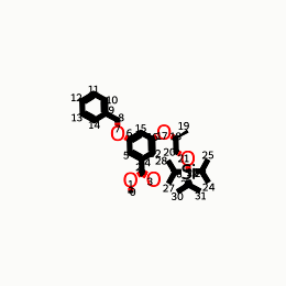 COC(=O)c1cc(OCc2ccccc2)cc(O[C@@H](C)CO[Si](C(C)C)(C(C)C)C(C)C)c1